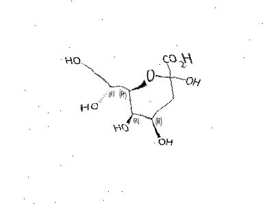 O=C(O)C1(O)C[C@@H](O)[C@@H](O)[C@@H]([C@H](O)CO)O1